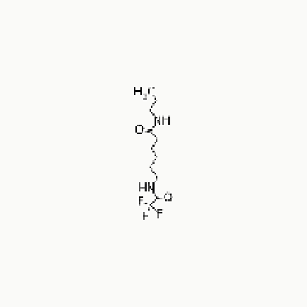 CCCNC(=O)CCCCCNC(=O)C(F)(F)F